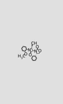 C#CC1C(N2C(=O)OC[C@@H]2c2ccccc2)C(=O)N1c1ccccc1OC